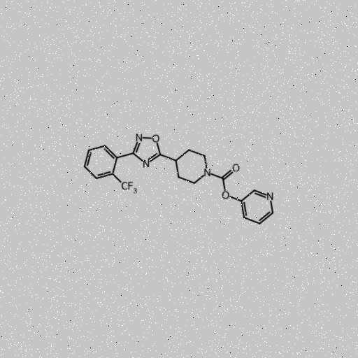 O=C(Oc1cccnc1)N1CCC(c2nc(-c3ccccc3C(F)(F)F)no2)CC1